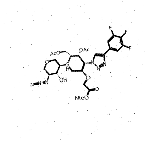 COC(=O)CO[C@H]1C[SH]([C@@H]2COC[C@H](N=[N+]=[N-])[C@H]2O)[C@H](COC(C)=O)[C@H](OC(C)=O)[C@H]1n1cc(-c2cc(F)c(F)c(F)c2)nn1